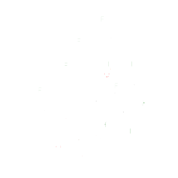 O=S1(=O)OCC(C(OCC(F)(F)F)(C(F)(F)F)C(F)(F)F)(C(OCC(F)(F)F)(C(F)(F)F)C(F)(F)F)CO1